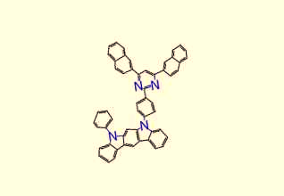 c1ccc(-n2c3ccccc3c3cc4c5ccccc5n(-c5ccc(-c6nc(-c7ccc8ccccc8c7)cc(-c7ccc8ccccc8c7)n6)cc5)c4cc32)cc1